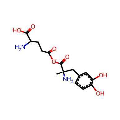 C[C@](N)(Cc1ccc(O)c(O)c1)C(=O)OC(=O)CCC(N)C(=O)O